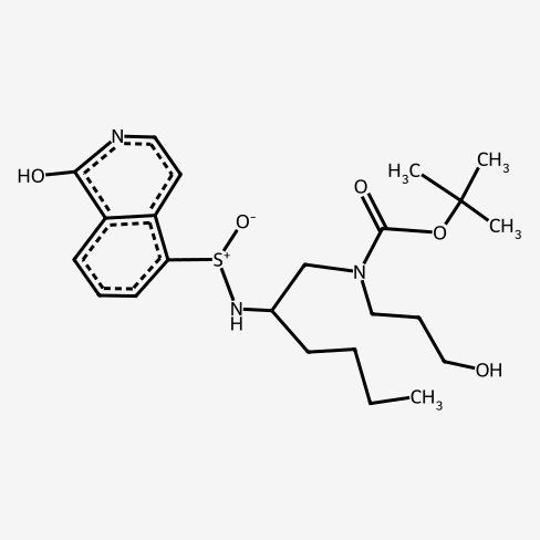 CCCCC(CN(CCCO)C(=O)OC(C)(C)C)N[S+]([O-])c1cccc2c(O)nccc12